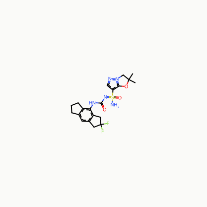 CC1(C)Cn2ncc([S@](N)(=O)=NC(=O)Nc3c4c(cc5c3CC(F)(F)C5)CCC4)c2O1